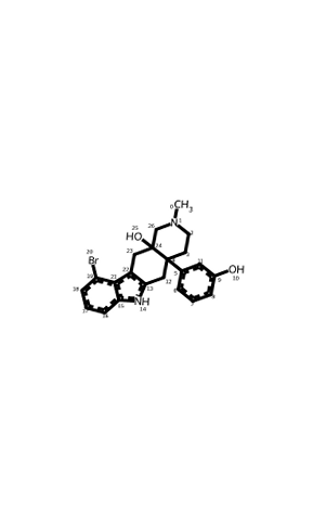 CN1CCC2(c3cccc(O)c3)Cc3[nH]c4cccc(Br)c4c3CC2(O)C1